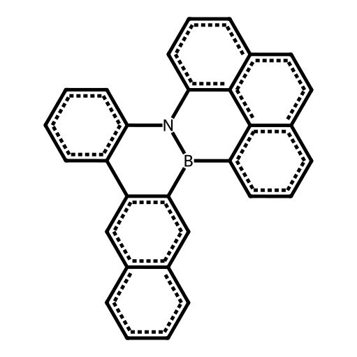 c1ccc2c(c1)-c1cc3ccccc3cc1B1c3cccc4ccc5cccc(c5c34)N12